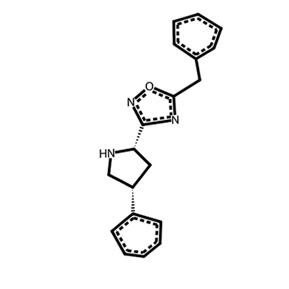 c1ccc(Cc2nc([C@@H]3C[C@H](c4ccccc4)CN3)no2)cc1